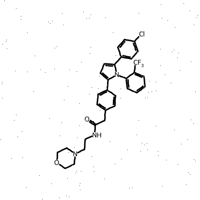 O=C(Cc1ccc(-c2ccc(-c3ccc(Cl)cc3)n2-c2ccccc2C(F)(F)F)cc1)NCCN1CCOCC1